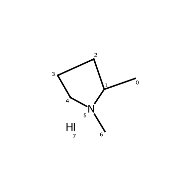 CC1CCCN1C.I